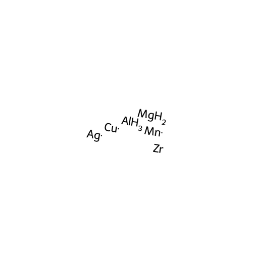 [Ag].[AlH3].[Cu].[MgH2].[Mn].[Zr]